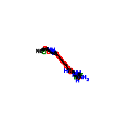 N#Cc1ccc(OC2CCC(NC(=O)c3ccc(N4CCC(OCCOCCOCCOCCOCCOCCOCCNS(=O)(=O)c5ccc(Nc6ncc(Br)c(Nc7cccc(F)c7C(N)=O)n6)cc5)CC4)nn3)CC2)cc1Cl